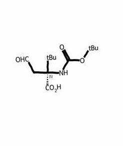 CC(C)(C)OC(=O)N[C@](CC=O)(C(=O)O)C(C)(C)C